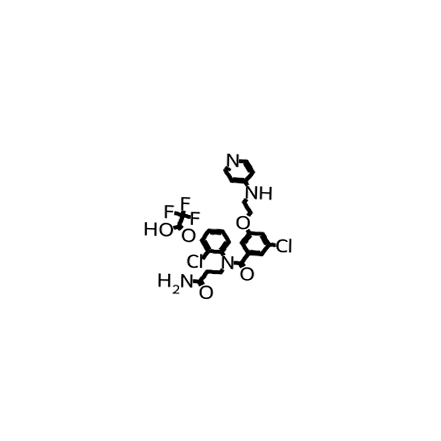 NC(=O)CCN(C(=O)c1cc(Cl)cc(OCCNc2ccncc2)c1)c1ccccc1Cl.O=C(O)C(F)(F)F